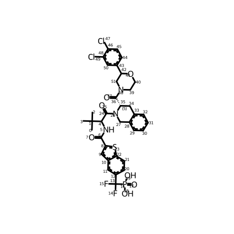 CC(C)(C)C(NC(=O)c1cc2cc(C(F)(F)P(=O)(O)O)ccc2s1)C(=O)N1Cc2ccccc2C[C@H]1C(=O)N1CCOC(c2ccc(Cl)c(Cl)c2)C1